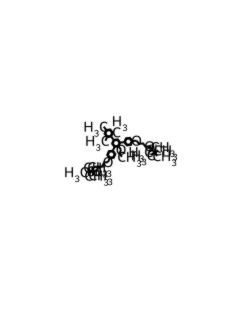 CCOc1c(-c2ccc(OCCCO[Si](C)(C)C(C)(C)C)cc2)cc(-c2c(C)cc(C)cc2C)cc1-c1ccc(OCCCO[Si](C)(C)C(C)(C)C)cc1